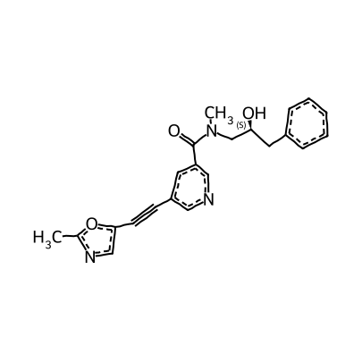 Cc1ncc(C#Cc2cncc(C(=O)N(C)C[C@@H](O)Cc3ccccc3)c2)o1